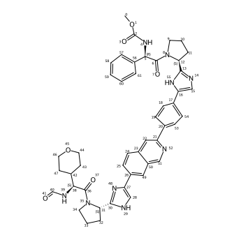 COC(=O)N[C@@H](C(=O)N1CCC[C@H]1c1ncc(-c2ccc(-c3cc4ccc(-c5c[nH]c([C@@H]6CCCN6C(=O)[C@@H](NC=O)C6CCOCC6)n5)cc4cn3)cc2)[nH]1)c1ccccc1